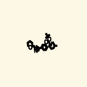 CC1CC[C@H](c2ccc(-c3cnn(C4CCCCO4)c3)cc2)N(C(=O)OC(C)(C)C)C1